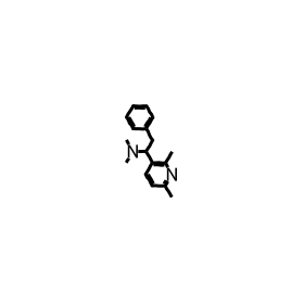 Cc1ccc(C(Cc2ccccc2)N(C)C)c(C)n1